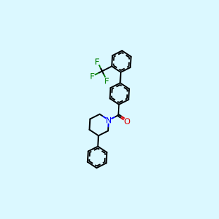 O=C(c1ccc(-c2ccccc2C(F)(F)F)cc1)N1CCCC(c2ccccc2)C1